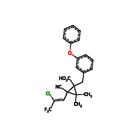 CC1(C)C(C#N)(C=C(Cl)C(F)(F)F)C1(Cc1cccc(Oc2ccccc2)c1)C(=O)O